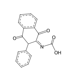 O=C(O)N=C1C(=O)c2ccccc2C(=O)C1c1ccccc1